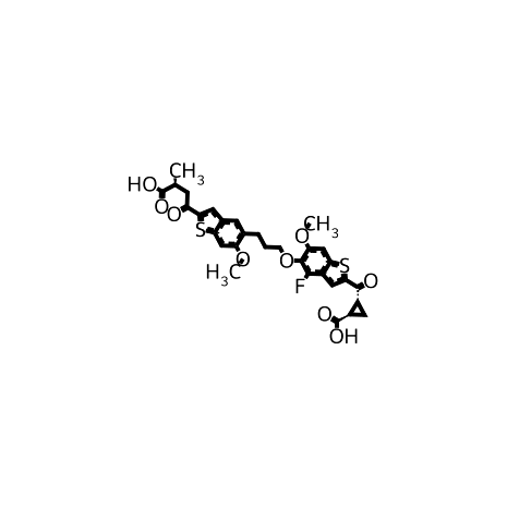 COc1cc2sc(C(=O)C[C@H](C)C(=O)O)cc2cc1CCCOc1c(OC)cc2sc(C(=O)[C@@H]3C[C@H]3C(=O)O)cc2c1F